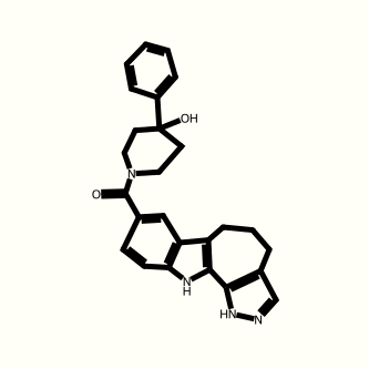 O=C(c1ccc2[nH]c3c(c2c1)CCCc1cn[nH]c1-3)N1CCC(O)(c2ccccc2)CC1